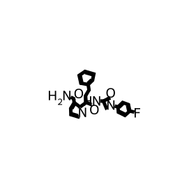 NC(=O)c1cccnc1C(CCc1ccccc1)C(=O)NC1CN(c2ccc(F)cc2)C1=O